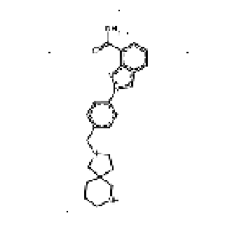 NC(=O)c1cccc2cn(-c3ccc(CN4CCC5(CCCNC5)C4)cc3)nc12